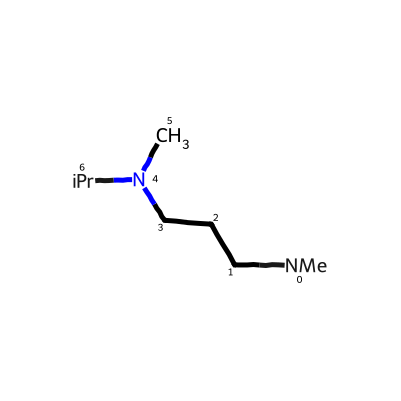 CNCCCN(C)C(C)C